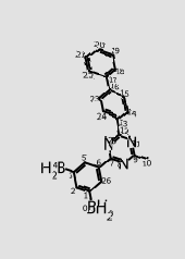 Bc1cc(B)cc(-c2nc(C)nc(-c3ccc(-c4ccccc4)cc3)n2)c1